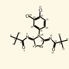 CC(C)(C)C(=O)/N=c1\ss/c(=N\C(=O)C(C)(C)C)n1-c1ccc(Cl)c(Cl)c1